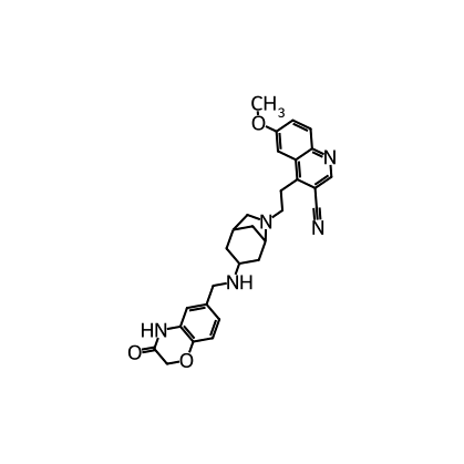 COc1ccc2ncc(C#N)c(CCN3CC4CC(NCc5ccc6c(c5)NC(=O)CO6)CC3C4)c2c1